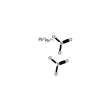 O=[Si]([O-])[O-].[O]=[Ti]([O-])[O-].[Pb+2].[Pb+2]